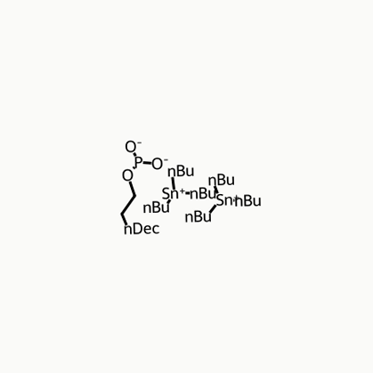 CCCCCCCCCCCCOP([O-])[O-].CCC[CH2][Sn+]([CH2]CCC)[CH2]CCC.CCC[CH2][Sn+]([CH2]CCC)[CH2]CCC